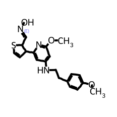 COc1ccc(CCNc2cc(OC)nc(C3C=CSC3/C=N/O)c2)cc1